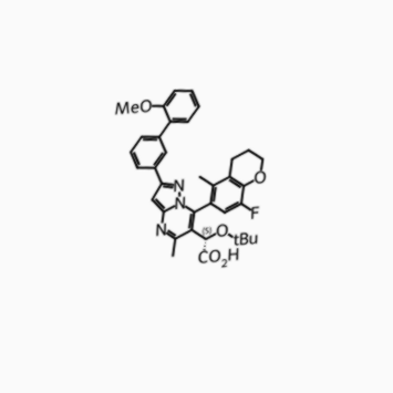 COc1ccccc1-c1cccc(-c2cc3nc(C)c([C@H](OC(C)(C)C)C(=O)O)c(-c4cc(F)c5c(c4C)CCCO5)n3n2)c1